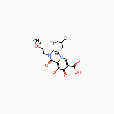 COCCN1C[C@H](CC(C)C)n2cc(C(=O)O)c(=O)c(O)c2C1=O